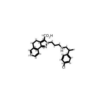 CC(CNCCCn1nc2c(c1C(=O)O)CCc1cnccc1-2)c1ccc(Cl)cc1